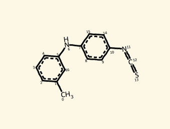 Cc1cccc(Nc2ccc(N=C=S)cc2)c1